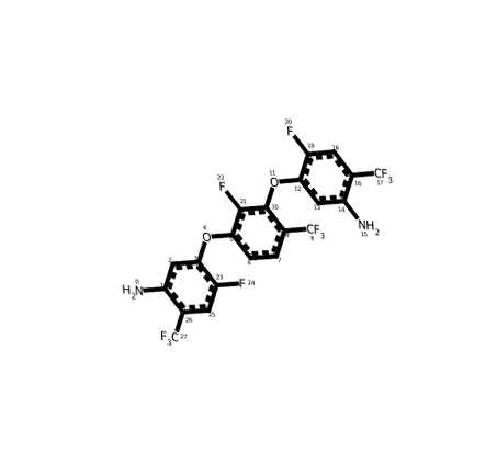 Nc1cc(Oc2ccc(C(F)(F)F)c(Oc3cc(N)c(C(F)(F)F)cc3F)c2F)c(F)cc1C(F)(F)F